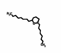 CCCCCCCCC1CC[CH2][Al]([CH2]CCCCCCC)[O]1